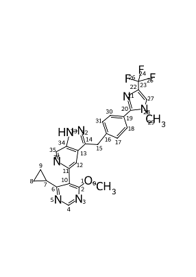 COc1ncnc(C2CC2)c1-c1cc2c(Cc3ccc(-c4nc(C(F)(F)F)cn4C)cc3)n[nH]c2cn1